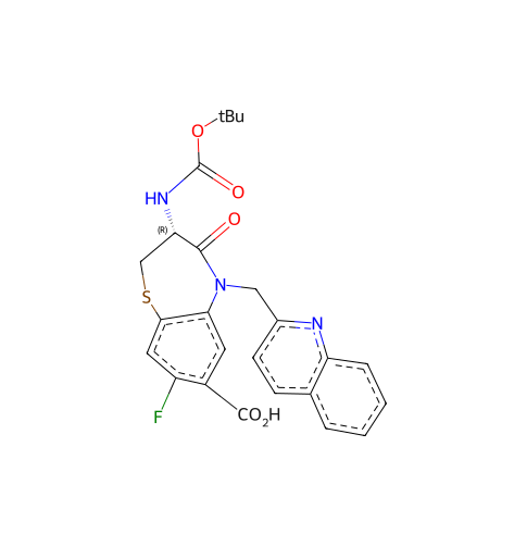 CC(C)(C)OC(=O)N[C@H]1CSc2cc(F)c(C(=O)O)cc2N(Cc2ccc3ccccc3n2)C1=O